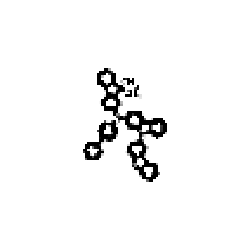 CC1(C)c2ccccc2-c2ccc(N(c3ccc(-c4ccccc4)cc3)c3ccc4c5ccccc5n(-c5ccc6sc7ccccc7c6c5)c4c3)cc21